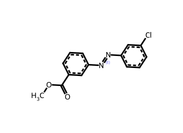 COC(=O)c1cccc(/N=N/c2cccc(Cl)c2)c1